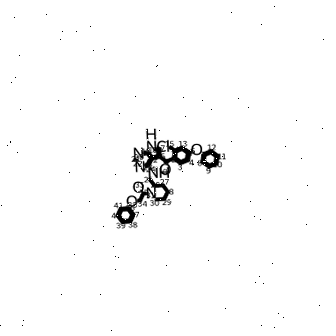 O=C(c1ccc(Oc2ccccc2)cc1Cl)c1c[nH]c2ncnc(NCC3CCCCN3C(=O)COc3ccccc3)c12